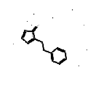 O=C1C=CC=C1CCc1ccccc1